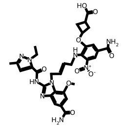 CCn1nc(C)cc1C(=O)Nc1nc2cc(C(N)=O)cc(OC)c2n1C/C=C/CNc1c(OC2CC(C(=O)O)C2)cc(C(N)=O)cc1[N+](=O)[O-]